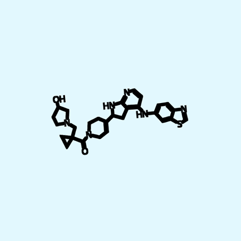 O=C(N1CC=C(C2Cc3c(Nc4ccc5ncsc5c4)ccnc3N2)CC1)C1(CN2CCC(O)C2)CC1